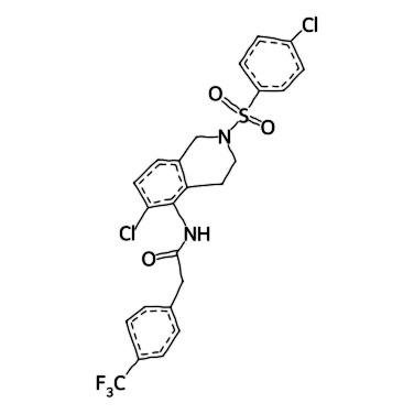 O=C(Cc1ccc(C(F)(F)F)cc1)Nc1c(Cl)ccc2c1CCN(S(=O)(=O)c1ccc(Cl)cc1)C2